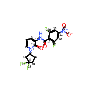 O=C(Nc1cccn(C2CCC(F)(F)C2)c1=O)c1c(F)cc([N+](=O)[O-])cc1F